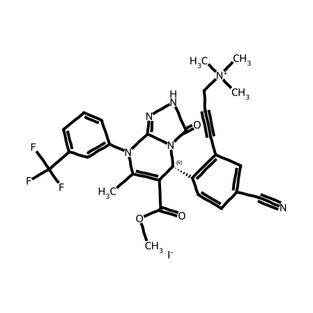 COC(=O)C1=C(C)N(c2cccc(C(F)(F)F)c2)c2n[nH]c(=O)n2[C@@H]1c1ccc(C#N)cc1C#CC[N+](C)(C)C.[I-]